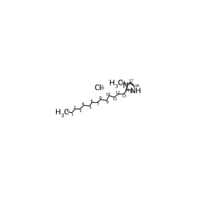 CCCCCCCCCCCCCCc1[nH]cc[n+]1C.[Cl-]